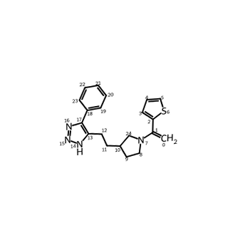 C=C(c1cccs1)N1CCC(CCc2[nH]nnc2-c2ccccc2)C1